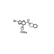 COC1CN(c2cc(C(=O)N3CCc4ccccc4[C@H]3C)nc3cc(Br)nn23)C1